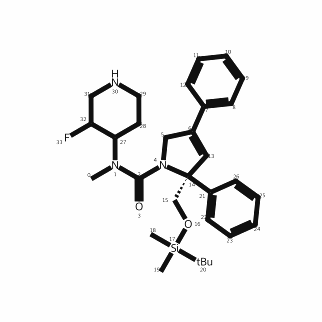 CN(C(=O)N1CC(c2ccccc2)=C[C@@]1(CO[Si](C)(C)C(C)(C)C)c1ccccc1)C1CCNCC1F